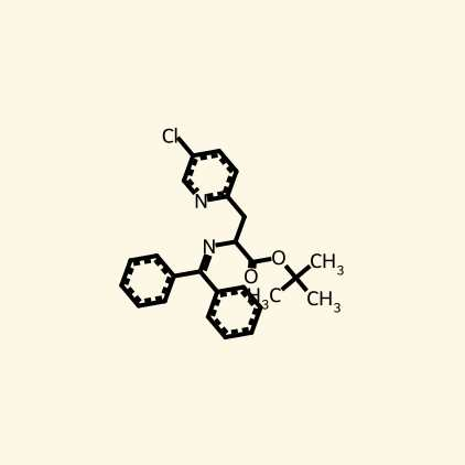 CC(C)(C)OC(=O)C(Cc1ccc(Cl)cn1)N=C(c1ccccc1)c1ccccc1